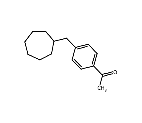 CC(=O)c1ccc(CC2CCCCCC2)cc1